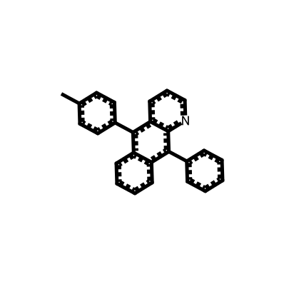 Cc1ccc(-c2c3ccccc3c(-c3ccccc3)c3ncccc23)cc1